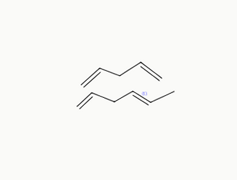 C=CC/C=C/C.C=CCC=C